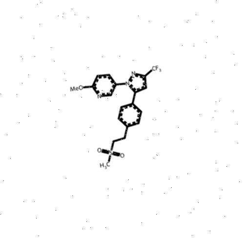 COc1ccc(-n2nc(C(F)(F)F)cc2-c2ccc(CCS(C)(=O)=O)cc2)cn1